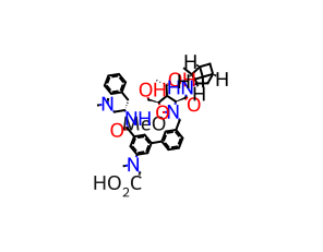 COc1c(CN2O[C@@H](CO)C([C@H](C)O)[C@H]2C(=O)N[C@H]2C[C@H]3C[C@@H]([C@@H]2C)C3(C)C)cccc1-c1cc(C(=O)N[C@@H](Cc2ccccc2)CN(C)C)cc(N(C)CC(=O)O)c1